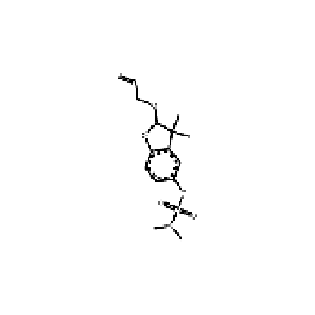 C=CCOC1Oc2ccc(OS(=O)(=O)N(C)C)cc2C1(C)C